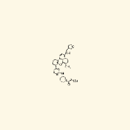 Cc1ccc2c(NCC3CCOC3)cccc2c1Oc1ncccc1-c1ccnc(NC2CCCN(C(=O)OC(C)(C)C)C2)n1